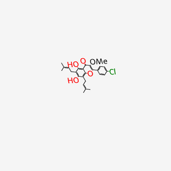 COc1c(-c2ccc(Cl)cc2)oc2c(CC=C(C)C)c(O)c(CC=C(C)C)c(O)c2c1=O